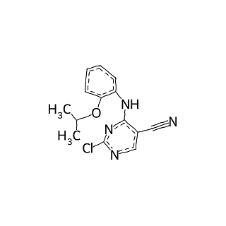 CC(C)Oc1ccccc1Nc1nc(Cl)ncc1C#N